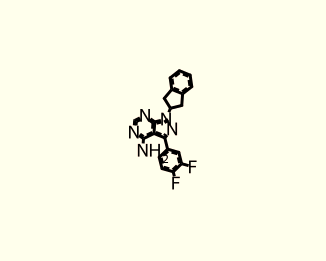 Nc1ncnc2c1c(-c1ccc(F)c(F)c1)nn2C1Cc2ccccc2C1